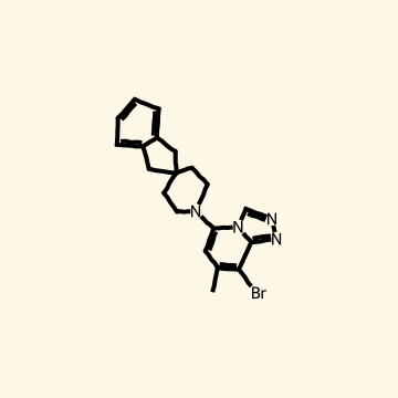 Cc1cc(N2CCC3(CC2)Cc2ccccc2C3)n2cnnc2c1Br